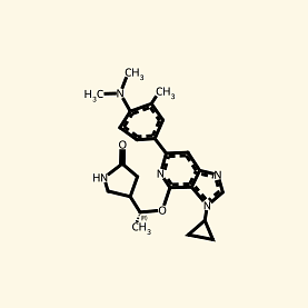 Cc1cc(-c2cc3ncn(C4CC4)c3c(O[C@H](C)C3CNC(=O)C3)n2)ccc1N(C)C